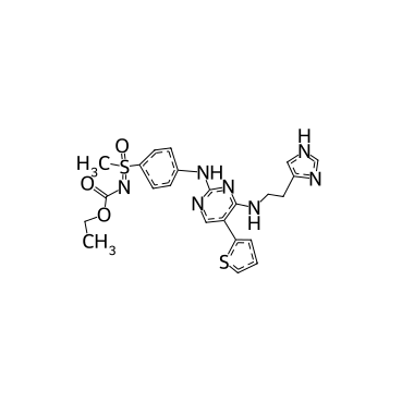 CCOC(=O)N=S(C)(=O)c1ccc(Nc2ncc(-c3cccs3)c(NCCc3c[nH]cn3)n2)cc1